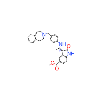 COC(=O)c1ccc2c(c1)/C(=C(\C)Nc1ccc(CN3CC=C4CC=CC=C4CC3)cc1)C(=O)N2